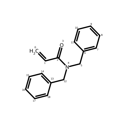 C=CC(=O)N(Cc1ccccc1)Cc1ccccc1